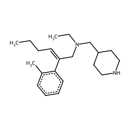 CCCC=C(CN(CC)CC1CCNCC1)c1ccccc1C